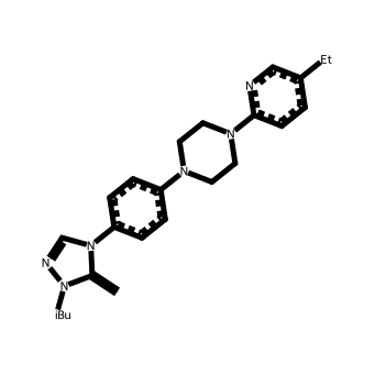 C=C1N(c2ccc(N3CCN(c4ccc(CC)cn4)CC3)cc2)C=NN1C(C)CC